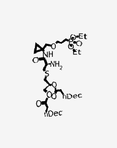 CCCCCCCCCCCC(=O)OC[C@@H](CSC[C@H](N)C(=O)NC1(COCCCP(=O)(OCC)OCC)CC1)OC(=O)CCCCCCCCCCC